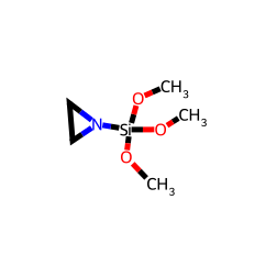 CO[Si](OC)(OC)N1CC1